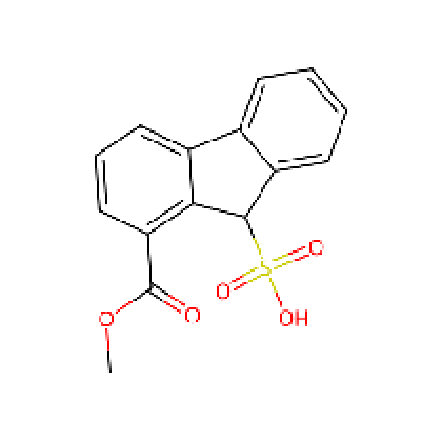 COC(=O)c1cccc2c1C(S(=O)(=O)O)c1ccccc1-2